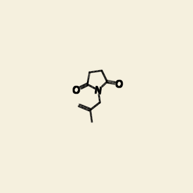 C=C(C)CN1C(=O)CCC1=O